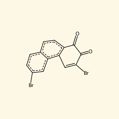 O=C1C(=O)c2ccc3ccc(Br)cc3c2C=C1Br